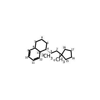 CC1(CC[C@H]2CCCC3C=CC=C[C@@]32C)CCCC1